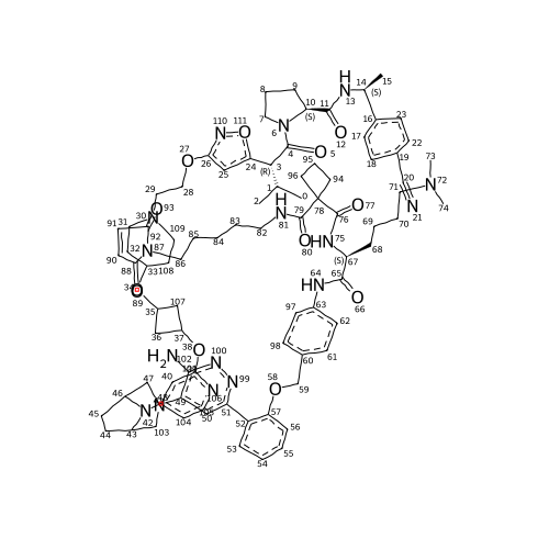 CC(C)[C@@H](C(=O)N1CCC[C@H]1C(=O)N[C@@H](C)c1ccc(C#N)cc1)c1cc(OCCN2CCC(OC3CC(Oc4cc(N5C6CCC5CN(c5cc(-c7ccccc7OCc7ccc(NC(=O)[C@H](CCCCN(C)C)NC(=O)C8(C(=O)NCCCCCN9C(=O)C=CC9=O)CCC8)cc7)nnc5N)C6)ccn4)C3)CC2)no1